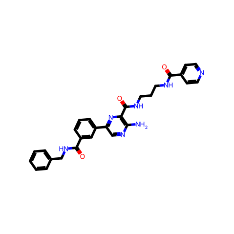 Nc1ncc(-c2cccc(C(=O)NCc3ccccc3)c2)nc1C(=O)NCCCNC(=O)c1ccncc1